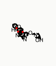 N#Cc1cnn2cc(OCCN3CC4CC4(O)C3)cc(-c3ccc(N4CC5CC(C4)N5C(=O)Nc4ccccc4)nc3)c12